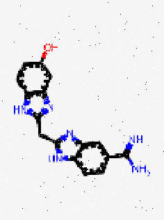 N=C(N)c1ccc2[nH]c(Cc3nc4cc(O)ccc4[nH]3)nc2c1